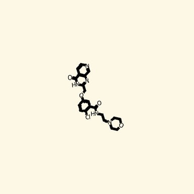 O=C(NCCN1CCOCC1)c1cc(OCc2nc3cnccc3c(=O)[nH]2)ccc1Cl